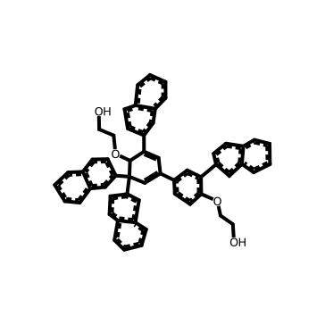 OCCOc1ccc(C2=CC(c3ccc4ccccc4c3)(c3ccc4ccccc4c3)C(OCCO)C(c3ccc4ccccc4c3)=C2)cc1-c1ccc2ccccc2c1